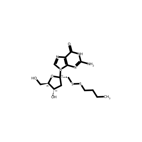 CCCCSSC[C@]1(n2cnc3c(=O)[nH]c(N)nc32)C[C@H](O)[C@@H](CO)O1